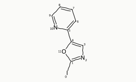 Ic1ncc(-c2ccccn2)o1